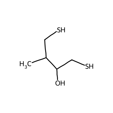 CC(CS)C(O)CS